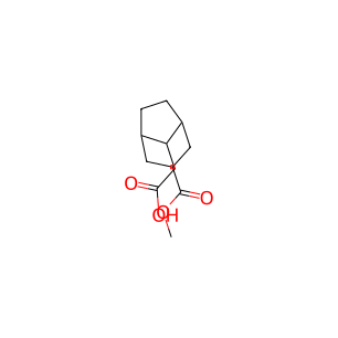 COC(=O)C1CC2CCC(C1)C2CC(=O)O